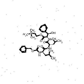 CC(C)C[C@H](NC(=O)[C@@H](CC(C)C)NC(=O)OCc1ccccc1)C(=O)N[C@H](C(=O)OCC[Si](C)(C)C)[C@H](O)c1ccccc1